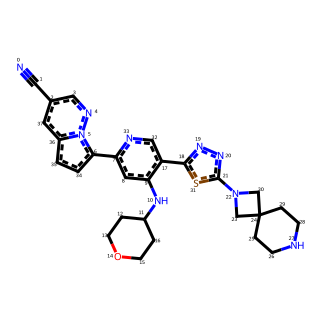 N#Cc1cnn2c(-c3cc(NC4CCOCC4)c(-c4nnc(N5CC6(CCNCC6)C5)s4)cn3)ccc2c1